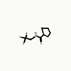 O=C(NCC(F)(F)F)C1CCCC1